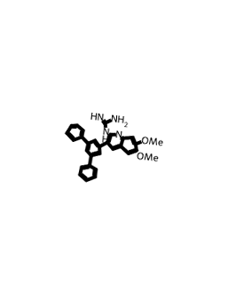 COc1cc2cc(-c3cc(-c4ccccc4)cc(-c4ccccc4)c3)c(NC(=N)N)nc2cc1OC